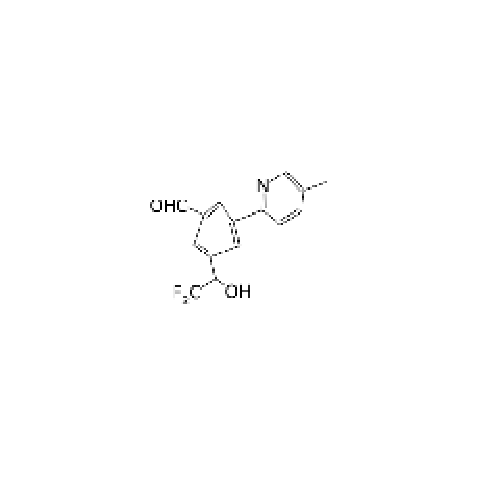 Cc1ccc(-c2cc(C=O)cc(C(O)C(F)(F)F)c2)nc1